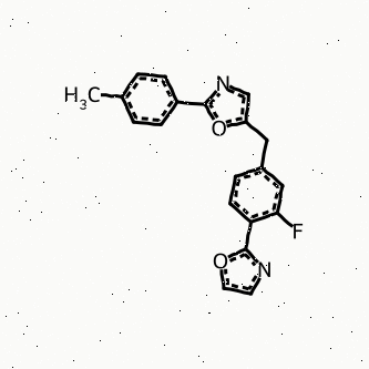 Cc1ccc(-c2ncc(Cc3ccc(-c4ncco4)c(F)c3)o2)cc1